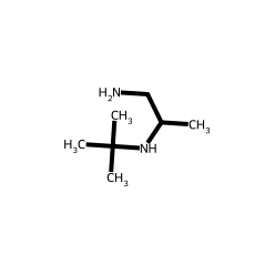 CC(CN)NC(C)(C)C